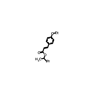 CCOc1ccc(C=CC(=O)OC(C)C(C)C)cc1